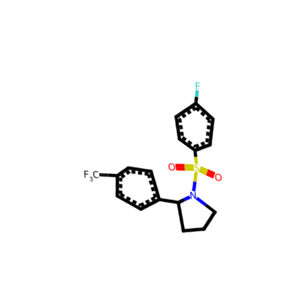 O=S(=O)(c1ccc(F)cc1)N1CCCC1c1ccc(C(F)(F)F)cc1